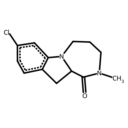 CN1CCCN2c3cc(Cl)ccc3CC2C1=O